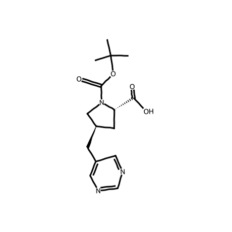 CC(C)(C)OC(=O)N1C[C@H](Cc2cncnc2)C[C@H]1C(=O)O